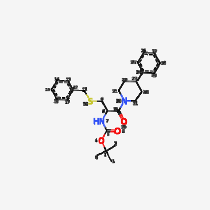 CC(C)(C)OC(=O)NC(CSCc1ccccc1)C(=O)N1CCC(c2ccccc2)CC1